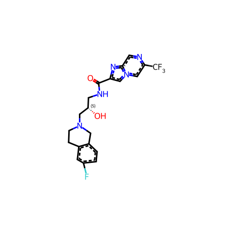 O=C(NC[C@H](O)CN1CCc2cc(F)ccc2C1)c1cn2cc(C(F)(F)F)ncc2n1